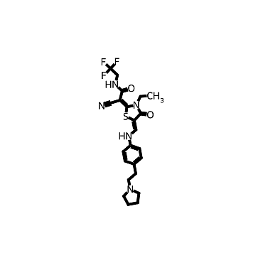 CCn1c(=C(C#N)C(=O)NCC(F)(F)F)sc(=CNc2ccc(CCN3CCCC3)cc2)c1=O